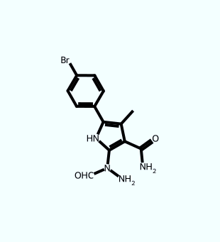 Cc1c(-c2ccc(Br)cc2)[nH]c(N(N)C=O)c1C(N)=O